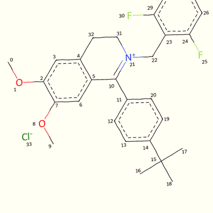 COc1cc2c(cc1OC)C(c1ccc(C(C)(C)C)cc1)=[N+](Cc1c(F)cccc1F)CC2.[Cl-]